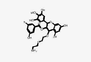 NCCOCCOC1c2c(O)cc(O)cc2OC(c2cc(O)c(O)c(O)c2)C1OC(=O)c1cc(O)cc(F)c1